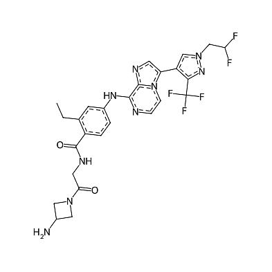 CCc1cc(Nc2nccn3c(-c4cn(CC(F)F)nc4C(F)(F)F)cnc23)ccc1C(=O)NCC(=O)N1CC(N)C1